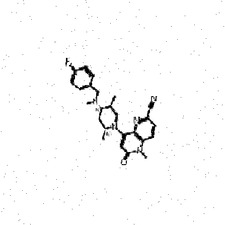 CC1CN(c2cc(=O)n(C)c3ccc(C#N)nc23)[C@@H](C)C[C@@H]1N(C)Cc1ccc(F)cc1